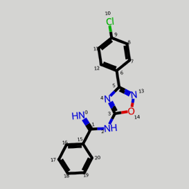 N=C(Nc1nc(-c2ccc(Cl)cc2)no1)c1ccccc1